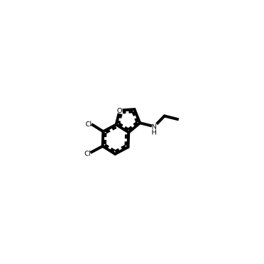 CCNc1coc2c(Cl)c(Cl)ccc12